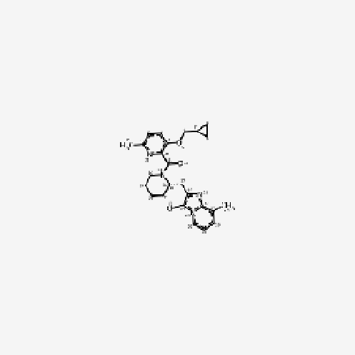 Cc1ccc(OCC2CC2)c(C(=O)N2CCCC[C@H]2Cc2nc3c(C)cccn3c2Cl)n1